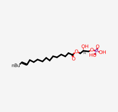 CCCCC=CCCCCCCCCCCCC(=O)OC[C@H](O)COP(=O)(O)O